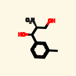 Cc1cccc([C@@H](O)[C@@H](CO)[N+](=O)[O-])c1